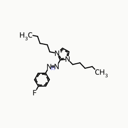 CCCCCn1cc[n+](CCCCC)c1/N=N/c1ccc(F)cc1